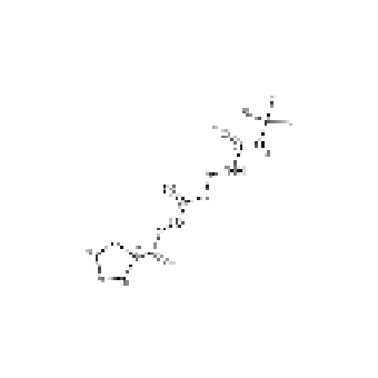 C=C(COC(=O)CCNC(=O)OC(C)(C)C)N1CCCC1